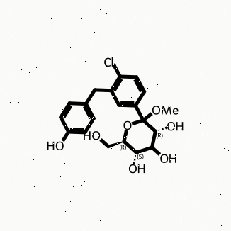 COC1(c2ccc(Cl)c(Cc3ccc(O)cc3)c2)O[C@H](CO)[C@@H](O)C(O)[C@H]1O